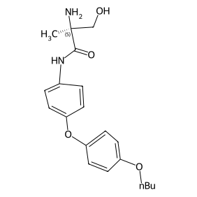 CCCCOc1ccc(Oc2ccc(NC(=O)[C@@](C)(N)CO)cc2)cc1